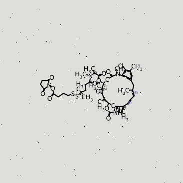 C/C1=C\C=C\[C@@H](C)[C@@]2(O)CC(OC(=O)N2)[C@@H](C)C2O[C@@]2(C)[C@@H](OC(=O)[C@H](C)N(C)C(=O)CCC(C)(C)SSCCCC(=O)ON2C(=O)CCC2=O)CC(=O)N(C)c2cc(cc(C)c2Cl)C1